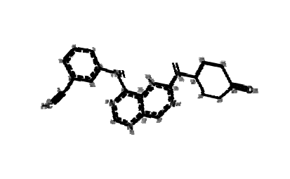 C#Cc1cccc(Nc2ncnc3cnc(NC4CCC(=O)CC4)nc23)c1